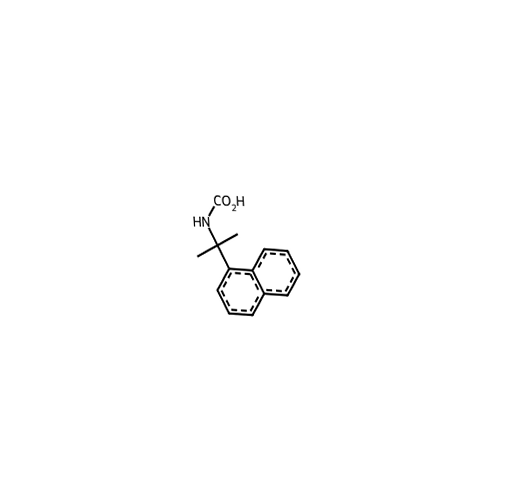 CC(C)(NC(=O)O)c1cccc2ccccc12